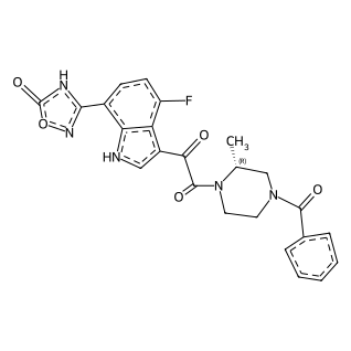 C[C@@H]1CN(C(=O)c2ccccc2)CCN1C(=O)C(=O)c1c[nH]c2c(-c3noc(=O)[nH]3)ccc(F)c12